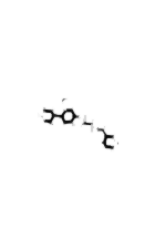 COc1cc(NCCNCc2cccnc2)ccc1-c1ccncc1